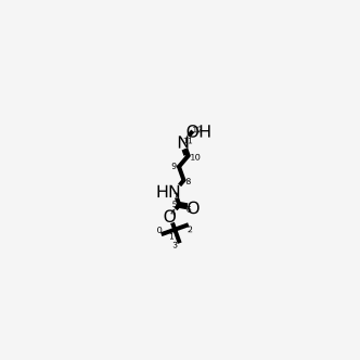 CC(C)(C)OC(=O)NCCC=NO